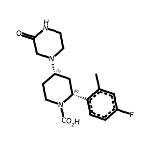 Cc1cc(F)ccc1[C@H]1C[C@@H](N2CCNC(=O)C2)CCN1C(=O)O